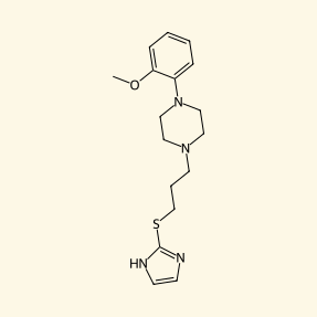 COc1ccccc1N1CCN(CCCSc2ncc[nH]2)CC1